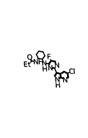 CCC(=O)N[C@H]1CCCC[C@H]1Nc1nc(-c2c[nH]c3ncc(Cl)cc23)ncc1F